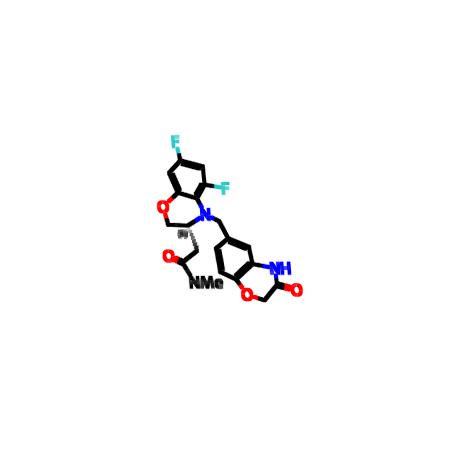 CNC(=O)C[C@@H]1COc2cc(F)cc(F)c2N1Cc1ccc2c(c1)NC(=O)CO2